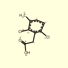 Cc1ccc(Cl)c(CC(=O)O)c1Cl